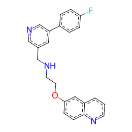 Fc1ccc(-c2cncc(CNCCOc3ccc4ncccc4c3)c2)cc1